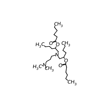 CCCCCC(=O)OC(CCCC)CN(CCCN(C)C)CC(CCCC)OC(=O)CCCCC